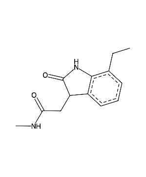 CCc1cccc2c1NC(=O)C2CC(=O)NC